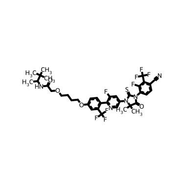 CC(NC(=O)COCCCCOc1ccc(-c2ncc(N3C(=S)N(c4ccc(C#N)c(C(F)(F)F)c4F)C(=O)C3(C)C)cc2F)c(C(F)(F)F)c1)C(C)(C)C